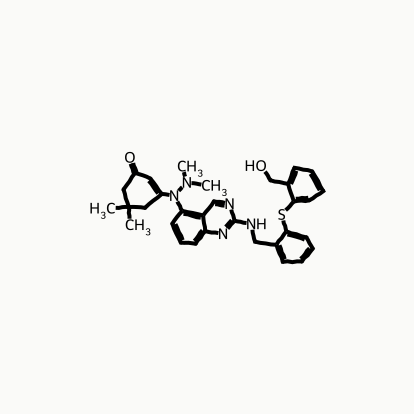 CN(C)N(C1=CC(=O)CC(C)(C)C1)c1cccc2nc(NCc3ccccc3Sc3ccccc3CO)ncc12